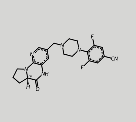 N#Cc1cc(F)c(N2CCN(Cc3cnc4c(c3)NC(=O)[C@@H]3CCCN43)CC2)c(F)c1